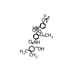 CCOc1cc(NC(=O)[C@H]2CC(C)=C(C)C[C@@H]2CO)ccc1S(=O)(=O)Nc1cccc(OC(F)(F)F)c1